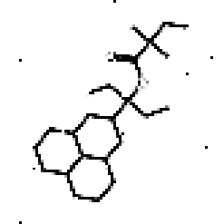 CCC(C)(C)C(=O)OC(CC)(CC)C1CC2CCCC3CCCC(C1)C32